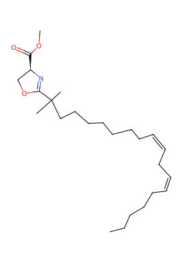 CCCCC/C=C\C/C=C\CCCCCCCC(C)(C)C1=N[C@H](C(=O)OC)CO1